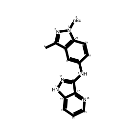 CCCCn1nc(C)c2cc(Nc3n[nH]c4cccnc34)ccc21